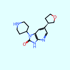 O=c1[nH]c2ncc([C@H]3CCOC3)cc2n1C1CCNCC1